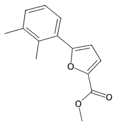 COC(=O)c1ccc(-c2cccc(C)c2C)o1